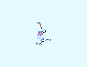 CCOCC#Cc1ccccc1NS(=O)(=O)NC(=O)Nc1nc(OC)cc(OC)n1